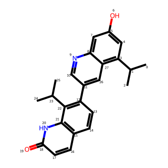 CC(C)c1cc(O)cc2ncc(-c3ccc4ccc(=O)[nH]c4c3C(C)C)cc12